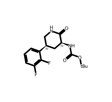 CC(C)(C)OC(=O)N[C@H]1C[C@@H](c2cccc(F)c2F)CNC1=O